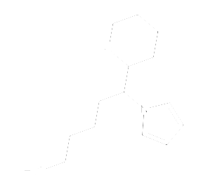 CCCCCC(C1CCCCO1)n1cccc1